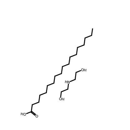 CCCCCCCCCCCCCCCCCC(=O)O.OCCNCCO